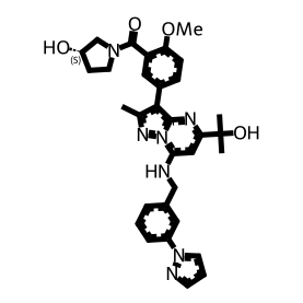 COc1ccc(-c2c(C)nn3c(NCc4cccc(-n5cccn5)c4)cc(C(C)(C)O)nc23)cc1C(=O)N1CC[C@H](O)C1